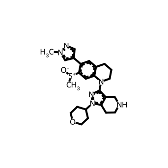 Cn1cc(-c2cc3c(cc2[S+](C)[O-])N(c2nn(C4CCOCC4)c4c2CNCC4)CCC3)cn1